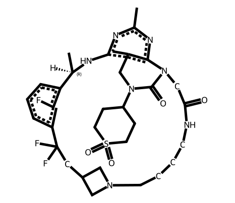 Cc1nc2c3c(n1)N(CC(=O)NCCCCN1CC(C1)CC(F)(F)c1cccc(c1F)[C@@H](C)N2)C(=O)N(C1CCS(=O)(=O)CC1)C3